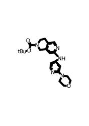 CC(C)(C)OC(=O)N1CCc2cnc(Nc3ccnc(N4CCOCC4)c3)cc2C1